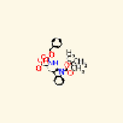 CC(C)(C)OC(=O)n1cc(C[C@@H](NC(=O)OCc2ccccc2)C(=O)O)c2ccccc21